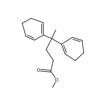 COC(=O)CCC(C)(C1=CCCC=C1)C1=CCCC=C1